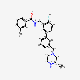 CC(=O)c1cccc(C(=O)NCc2cc(-c3cccc(CN4CCN[C@@H](C)C4)c3)ccc2F)c1